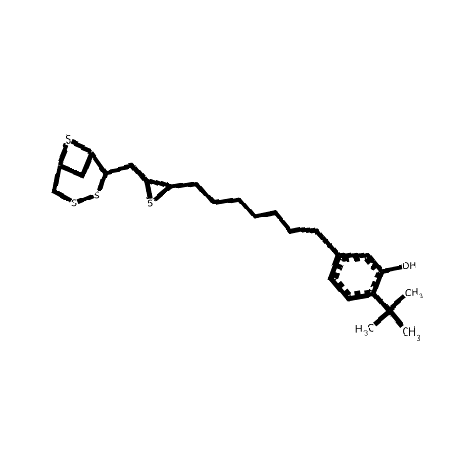 CC(C)(C)c1ccc(CCCCCCCC2SC2CC2SSCC3CC2S3)cc1O